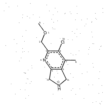 COCc1nc2c(c(C)c1Cl)CNC2